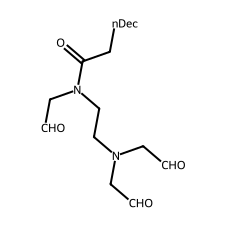 CCCCCCCCCCCC(=O)N(CC=O)CCN(CC=O)CC=O